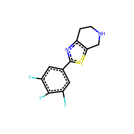 Fc1cc(-c2nc3c(s2)CNCC3)cc(F)c1F